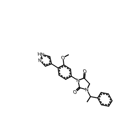 COc1cc(N2C(=O)CN(C(C)c3ccccc3)C2=O)ccc1-c1cn[nH]c1